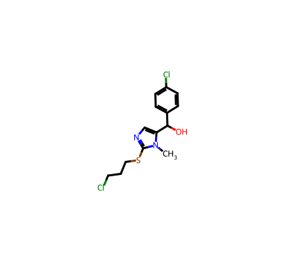 Cn1c(C(O)c2ccc(Cl)cc2)cnc1SCCCCl